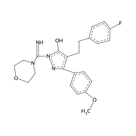 COc1ccc(-c2nn(C(=N)N3CCOCC3)c(O)c2CCc2ccc(F)cc2)cc1